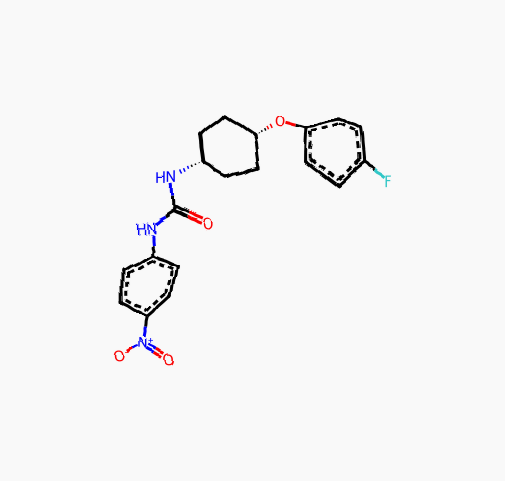 O=C(Nc1ccc([N+](=O)[O-])cc1)N[C@H]1CC[C@@H](Oc2ccc(F)cc2)CC1